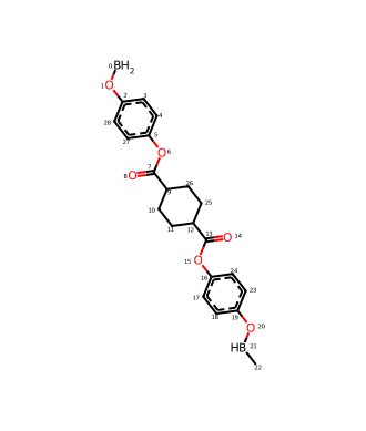 BOc1ccc(OC(=O)C2CCC(C(=O)Oc3ccc(OBC)cc3)CC2)cc1